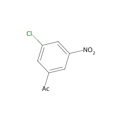 CC(=O)c1cc(Cl)cc([N+](=O)[O-])c1